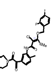 CN/C(OCc1ccc(F)cc1F)=C(/Cl)C(=O)Nc1cc(C(=O)C(=O)N2CCOCC2)ccc1C